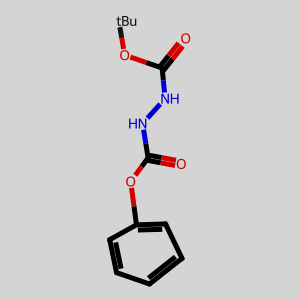 CC(C)(C)OC(=O)NNC(=O)Oc1ccccc1